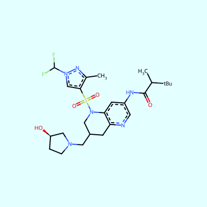 Cc1nn(C(F)F)cc1S(=O)(=O)N1CC(CN2CC[C@@H](O)C2)Cc2ncc(NC(=O)C(C)C(C)(C)C)cc21